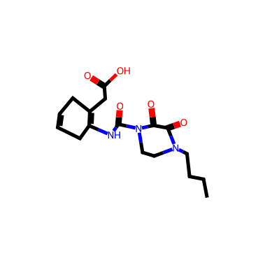 CCCCN1CCN(C(=O)NC2=C(CC(=O)O)CC=CC2)C(=O)C1=O